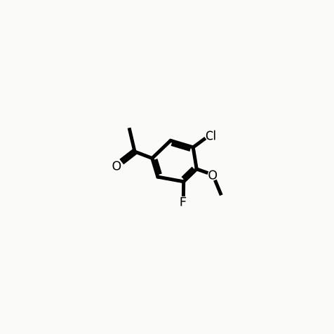 COc1c(F)cc(C(C)=O)cc1Cl